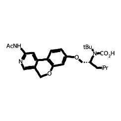 CC(=O)Nc1cc2c(cn1)COc1cc(OC[C@@H](CC(C)C)N(C(=O)O)C(C)(C)C)ccc1-2